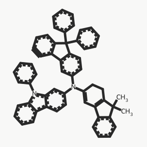 CC1(C)C2=C(C=C(N(c3ccc4c(c3)-c3c#cccc3C4(c3ccccc3)c3ccccc3)c3ccc4c5ccccc5n(-c5ccccc5)c4c3)CC2)c2ccccc21